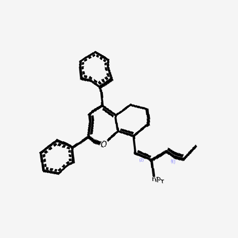 C/C=C/C(=C\C1=C2OC(c3ccccc3)=CC(c3ccccc3)=C2CCC1)CCC